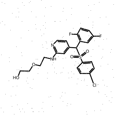 O=S(=O)(c1ccc(Cl)cc1)C(c1ccnc(NCCOCCO)c1)c1cc(F)ccc1F